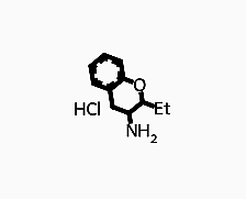 CCC1Oc2ccccc2CC1N.Cl